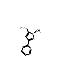 CCOC(=O)c1cc(-c2ncccn2)nn1C